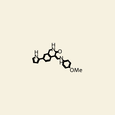 COc1ccc(NC=C2C(=O)NCc3cc(-c4ccc[nH]4)ccc32)cc1